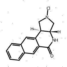 O=C1N[C@H]2CN(Cl)C[C@@H]2c2cc3ccccc3cc21